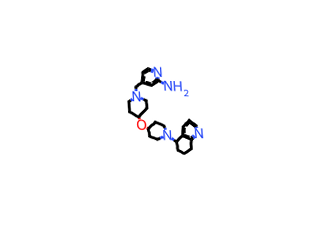 Nc1cc(CN2CCC(OC3CCN(C4CCCc5ncccc54)CC3)CC2)ccn1